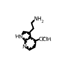 Cl.NCCc1c[nH]c2nccc(Cl)c12